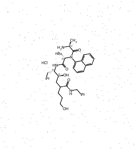 CCCC[C@@H](C(=O)N[C@@H](CC(C)C)[C@@H](O)CC(CCCO)C(=O)NCC(C)C)N(C(=O)[C@H](C)N)c1cccc2ccccc12.Cl